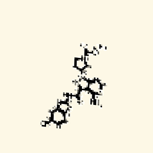 CC(C)(C)OC(=O)N1CC[C@@H](n2nc(C(=O)Nc3nc4cc(Cl)ccc4o3)c3c(N)ncnc32)C1